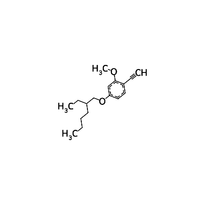 C#Cc1ccc(OCC(CC)CCCC)cc1OC